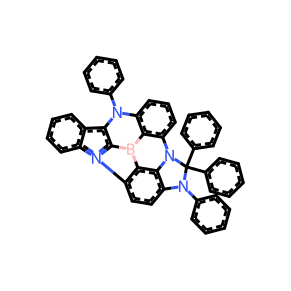 c1ccc(N2c3cccc4c3B3c5c(ccc6c5N4C(c4ccccc4)(c4ccccc4)N6c4ccccc4)-n4c3c2c2ccccc24)cc1